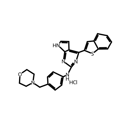 Cl.c1ccc2sc(-c3nc(Nc4ccc(CN5CCOCC5)cc4)nc4[nH]ccc34)cc2c1